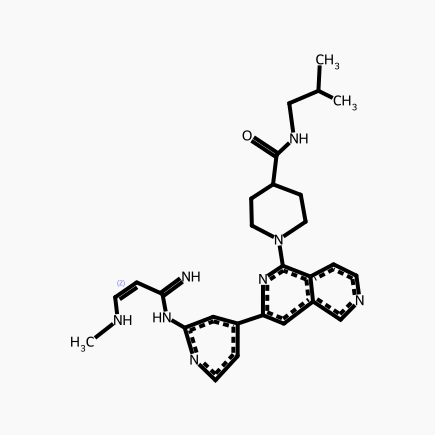 CN/C=C\C(=N)Nc1cc(-c2cc3cnccc3c(N3CCC(C(=O)NCC(C)C)CC3)n2)ccn1